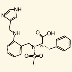 CS(=O)(=O)N(Cc1ccccc1NCc1c[nH]cn1)[C@@H](Cc1ccccc1)C(=O)O